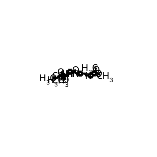 COc1cc2c(cc1OC)CN(CCc1ccc(NC(=O)c3cccc(C=c4[nH]c(=O)c(=CCC(C)(C)C)n(C)c4=O)c3)cc1)CC2